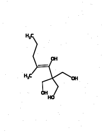 CCCC(C)=C(O)C(CO)(CO)CO